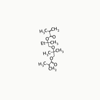 C=C(C)C(=O)OCC(C)(C)OCC(C)(CC)OC(=O)C(=C)C